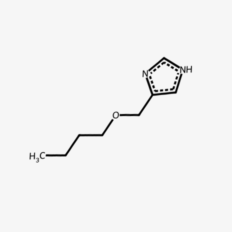 CCCCOCc1c[nH]cn1